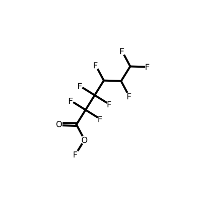 O=C(OF)C(F)(F)C(F)(F)C(F)C(F)C(F)F